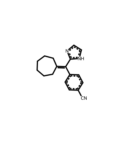 N#Cc1ccc(C(=C2CCCCCC2)c2ncc[nH]2)cc1